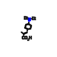 CCN(CC)c1ccc(C=C(C)C(=O)O)cc1